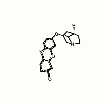 CC1[C@@H]2CC[N@@]1C[C@@H](Oc1ccc3nc4ccc(=O)cc-4oc3c1)C2